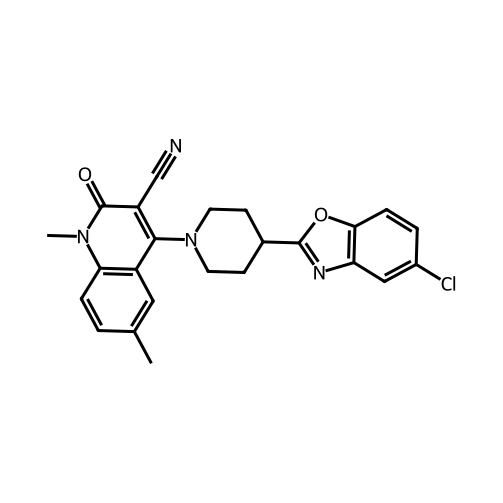 Cc1ccc2c(c1)c(N1CCC(c3nc4cc(Cl)ccc4o3)CC1)c(C#N)c(=O)n2C